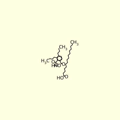 CCCCCCCCCCCCCCCC(=O)O.CCCCc1ccc(C(=O)O)c(C(=O)O)c1CCCC